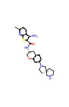 Cc1ccc2c(N)c(C(=O)N[C@H]3COc4cc(N5CC[C@@]6(CCCNC6)C5)ccc4C3)sc2n1